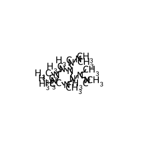 CCCN(C)CCN(CCN(CCC)CCN(C)C)CCN(CCN(C)CCN(C)C)CCN(C)CCN(CCC)CCN(C)C